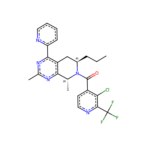 CCC[C@@H]1Cc2c(-c3ccccn3)nc(C)nc2[C@@H](C)N1C(=O)c1ccnc(C(F)(F)F)c1Cl